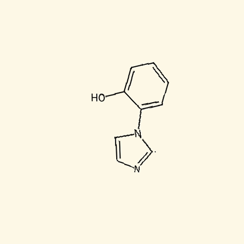 Oc1ccccc1-n1[c]ncc1